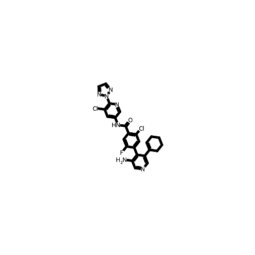 Nc1cncc(C2=CCCCC2)c1-c1cc(Cl)c(C(=O)Nc2cnc(-n3nccn3)c(Cl)c2)cc1F